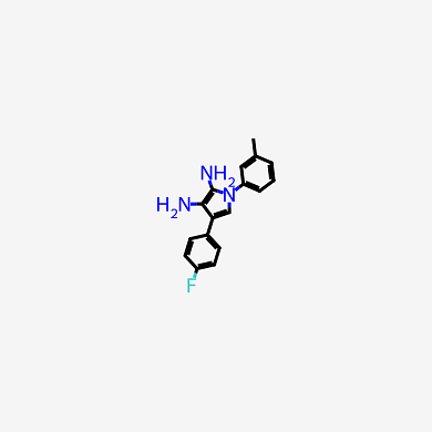 Cc1cccc(-n2cc(-c3ccc(F)cc3)c(N)c2N)c1